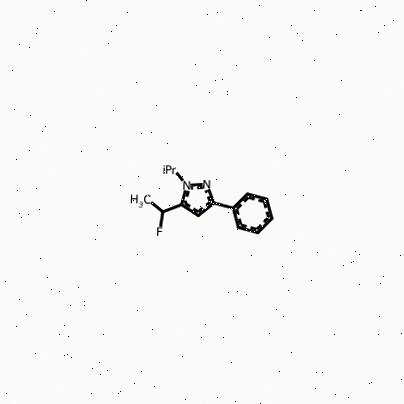 CC(F)c1cc(-c2ccccc2)nn1C(C)C